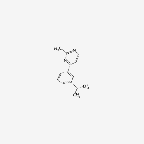 Cc1nccc(-c2cccc(C(C)C)c2)n1